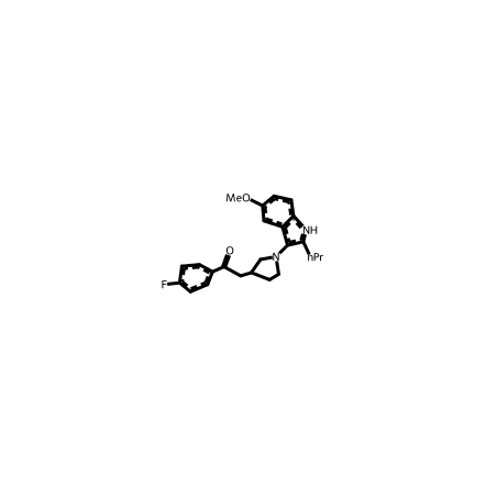 CCCc1[nH]c2ccc(OC)cc2c1N1CCC(CC(=O)c2ccc(F)cc2)C1